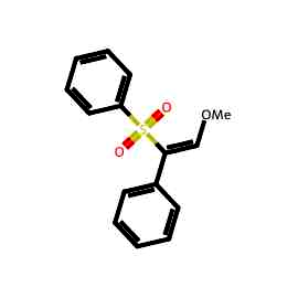 CO/C=C(/c1ccccc1)S(=O)(=O)c1ccccc1